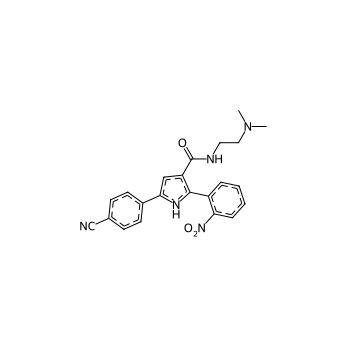 CN(C)CCNC(=O)c1cc(-c2ccc(C#N)cc2)[nH]c1-c1ccccc1[N+](=O)[O-]